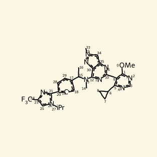 COc1ncnc(C2CC2)c1-c1nc(N(C)C(C)c2ccc(-c3nc(C(F)(F)F)cn3C(C)C)cc2)c2nn(C)cc2n1